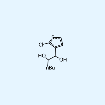 CCCCC(O)C(O)c1ccsc1Cl